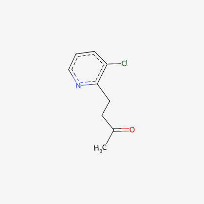 CC(=O)CCc1ncccc1Cl